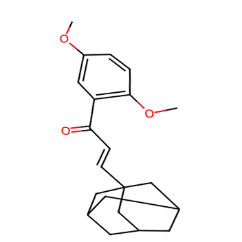 COc1ccc(OC)c(C(=O)C=CC23CC4CC(CC(C4)C2)C3)c1